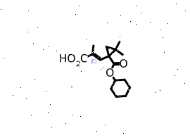 C/C(=C\C1(C(=O)OC2CCCCC2)CC1(C)C)C(=O)O